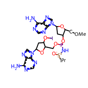 COCC1OC(n2cnc3c(N)ncnc32)CC1OP(N[S+]([O-])C(C)C)OCC1OC(n2cnc3c(N)ncnc32)CC1OI